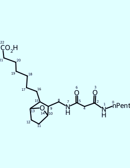 CCCCCNC(=O)CC(=O)NCC1C2CCC(O2)C1CCCCCCC(=O)O